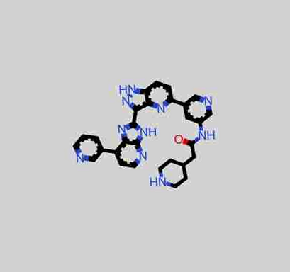 O=C(CC1CCNCC1)Nc1cncc(-c2ccc3[nH]nc(-c4nc5c(-c6cccnc6)ccnc5[nH]4)c3n2)c1